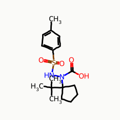 Cc1ccc(S(=O)(=O)NN(C(=O)O)C2(C(C)(C)C)CCCC2)cc1